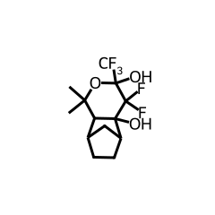 CC1(C)OC(O)(C(F)(F)F)C(F)(F)C2(O)C3CCC(C3)C12